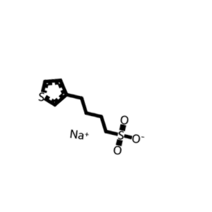 O=S(=O)([O-])CCCCc1ccsc1.[Na+]